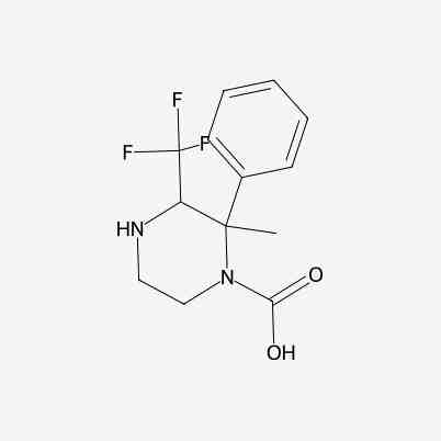 CC1(c2ccccc2)C(C(F)(F)F)NCCN1C(=O)O